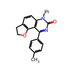 Cc1ccc(-c2nc(=O)n(C(C)C)c3ccc4c(c23)OCC4)cc1